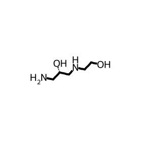 NC[C@H](O)CNCCO